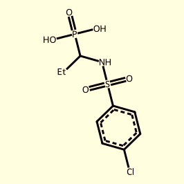 CCC(NS(=O)(=O)c1ccc(Cl)cc1)P(=O)(O)O